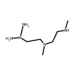 CNCCN(C)CCN(N)N